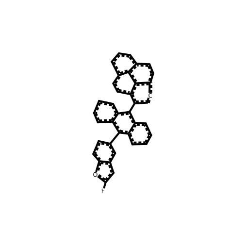 Fc1cc2cc(-c3c4ccccc4c(-c4ccc5ccc6cccc7ccc4c5c67)c4ccccc34)ccc2o1